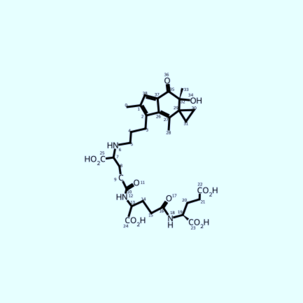 CC1=C(CCCNC(CCC(=O)NC(CCC(=O)N[C@@H](CCC(=O)O)C(=O)O)C(=O)O)C(=O)O)C2=C(C)C3(CC3)[C@@](C)(O)C(=O)C2=C1